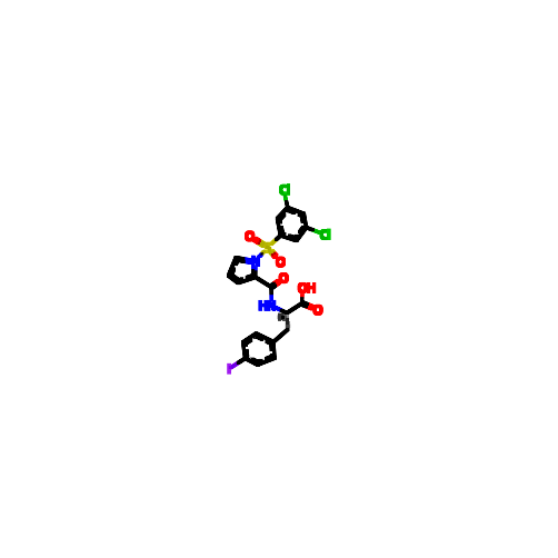 O=C(N[C@@H](Cc1ccc(I)cc1)C(=O)O)c1cccn1S(=O)(=O)c1cc(Cl)cc(Cl)c1